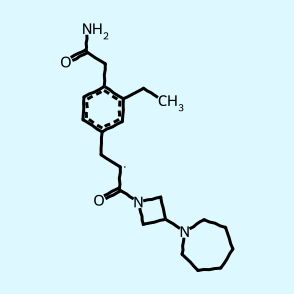 CCc1cc(C[CH]C(=O)N2CC(N3CCCCCC3)C2)ccc1CC(N)=O